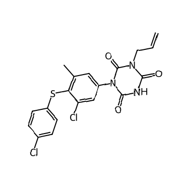 C=CCn1c(=O)[nH]c(=O)n(-c2cc(C)c(Sc3ccc(Cl)cc3)c(Cl)c2)c1=O